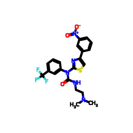 CN(C)CCNC(=O)N(c1cccc(C(F)(F)F)c1)c1nc(-c2cccc([N+](=O)[O-])c2)cs1